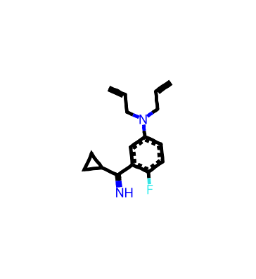 C=CCN(CC=C)c1ccc(F)c(C(=N)C2CC2)c1